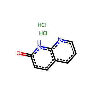 Cl.Cl.O=c1ccc2cccnc2[nH]1